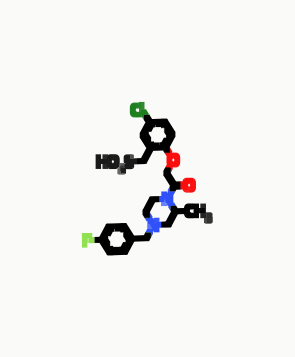 CC1CN(Cc2ccc(F)cc2)CCN1C(=O)COc1ccc(Cl)cc1CS(=O)(=O)O